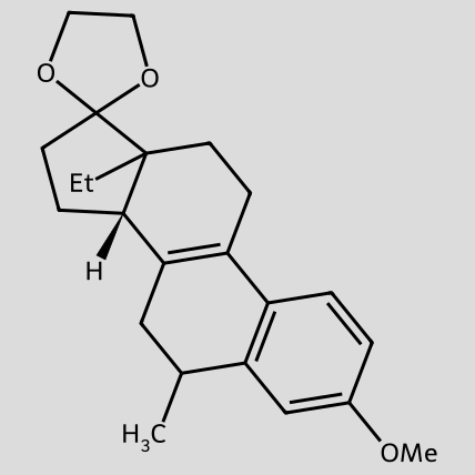 CCC12CCC3=C(CC(C)c4cc(OC)ccc43)[C@@H]1CCC21OCCO1